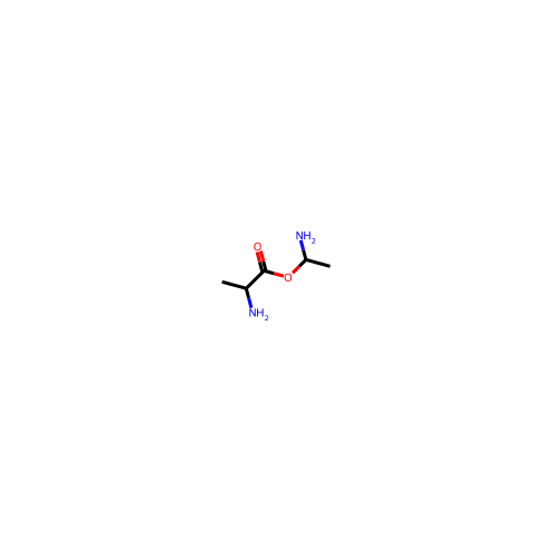 CC(N)OC(=O)C(C)N